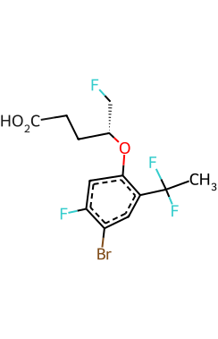 CC(F)(F)c1cc(Br)c(F)cc1O[C@@H](CF)CCC(=O)O